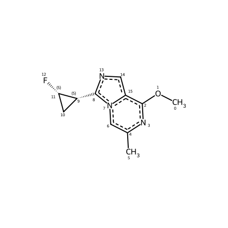 COc1nc(C)cn2c([C@@H]3C[C@@H]3F)ncc12